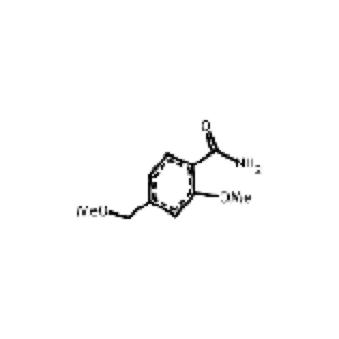 COCc1ccc(C(N)=O)c(OC)c1